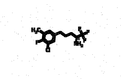 Cc1cc(CCC[C@@H](N)C(F)(F)F)cc(Cl)c1F